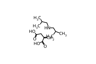 C=C(CC(=O)O)C(=O)O.CC(C)CNCC(C)C